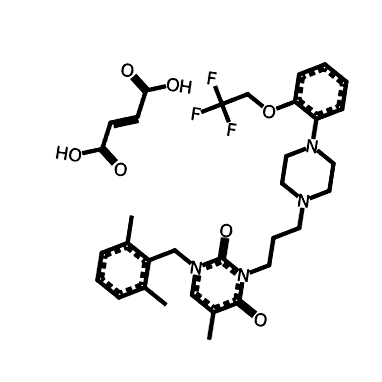 Cc1cccc(C)c1Cn1cc(C)c(=O)n(CCCN2CCN(c3ccccc3OCC(F)(F)F)CC2)c1=O.O=C(O)/C=C/C(=O)O